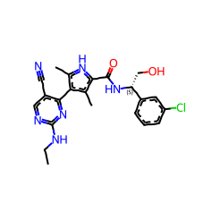 CCNc1ncc(C#N)c(-c2c(C)[nH]c(C(=O)N[C@H](CO)c3cccc(Cl)c3)c2C)n1